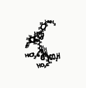 NCC1CCC(C(=O)N[C@@H](Cc2ccc(F)cc2)C(=O)NCCCC[C@H](NC(=O)N[C@@H](CCC(=O)O)C(=O)O)C(=O)O)CC1